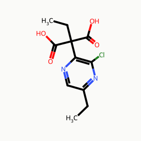 CCc1cnc(C(CC)(C(=O)O)C(=O)O)c(Cl)n1